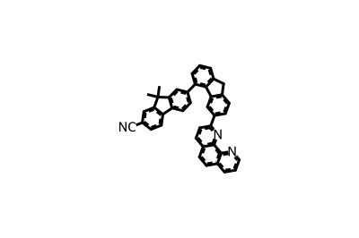 CC1(C)c2cc(C#N)ccc2-c2ccc(-c3cccc4c3-c3cc(-c5ccc6ccc7cccnc7c6n5)ccc3C4)cc21